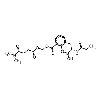 CCC(=O)N[C@H]1Cc2cccc(C(=O)OCOC(=O)CCC(=O)N(C)C)c2OB1O